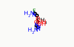 C[C@@]1(O)[C@@H](COc2ccc3cc(F)c(N)nc3c2)O[C@@H](n2ccc3c(N)ncnc32)[C@@H]1O